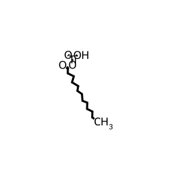 CCCCCCCCCCCCC(=O)[O][Ti](=[O])[OH]